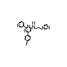 Fc1ccc(-c2cc(NCCCn3ccnc3)nc(-c3cccnc3)n2)cc1